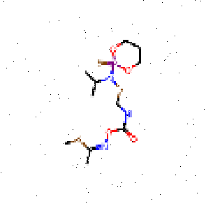 CSC(C)=NOC(=O)NCSN(C(C)C)P1(=S)OCCCO1